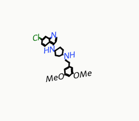 COc1cc(CCN[C@H]2CC[C@H](Nc3ccnc4cc(Cl)ccc34)CC2)cc(OC)c1